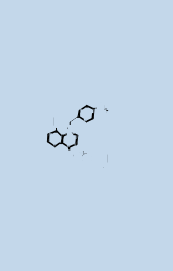 O=C(O)Oc1cn(Cc2ccc(OC(F)(F)F)cc2)c2c(F)cccc2c1=O